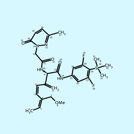 C=C(/C=C\C(=C/C)COC)[C@@H](NC(=O)Cn1nc(C)ccc1=O)C(=O)Nc1cc(F)c([Si](C)(C)C)c(F)c1